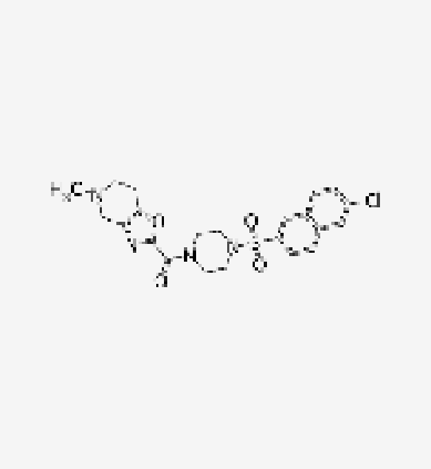 CN1CCc2oc(C(=O)N3CCN(S(=O)(=O)c4ccc5cc(Cl)ccc5c4)CC3)nc2C1